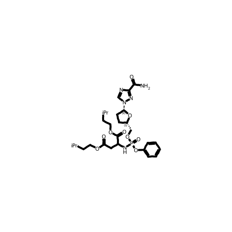 CC(C)CCOC(=O)CC(NP(=O)(OC[C@@H]1CC[C@H](n2cnc(C(N)=O)n2)O1)Oc1ccccc1)C(=O)OCCC(C)C